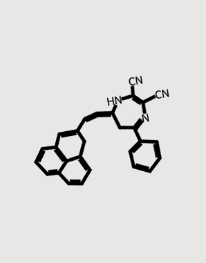 N#CC1=C(C#N)NC(=C=CC2=Cc3cccc4cccc(c34)C2)CC(c2ccccc2)=N1